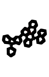 c1ccc(-n2c3ccccc3c3cc(-c4ccccc4-c4ccccc4N(c4ccc5ccccc5c4)c4cccc5ccccc45)ccc32)cc1